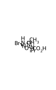 CC(C)[C@H](NC(=O)O)C(=O)N1C[C@@H](C)C[C@H]1c1ncc(Br)[nH]1